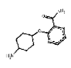 NC(=O)c1nccnc1OC1CCC(N)CC1